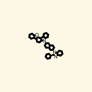 c1ccc(-c2nc3ccccc3n2-c2ccc3cc(-n4c5ccccc5c5c6oc7ccccc7c6ccc54)ccc3c2)cc1